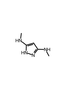 CNc1cc(NC)[nH]n1